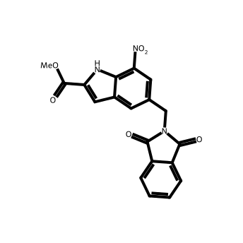 COC(=O)c1cc2cc(CN3C(=O)c4ccccc4C3=O)cc([N+](=O)[O-])c2[nH]1